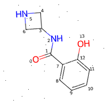 O=C(NC1CNC1)c1ccccc1O